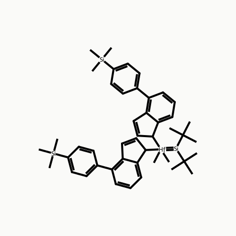 CC(C)(C)[Si](C(C)(C)C)=[Hf]([CH3])([CH3])([CH]1C=Cc2c(-c3ccc([Si](C)(C)C)cc3)cccc21)[CH]1C=Cc2c(-c3ccc([Si](C)(C)C)cc3)cccc21